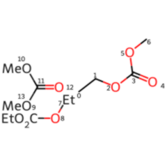 CCOC(=O)OC.CCOC(=O)OCC.COC(=O)OC